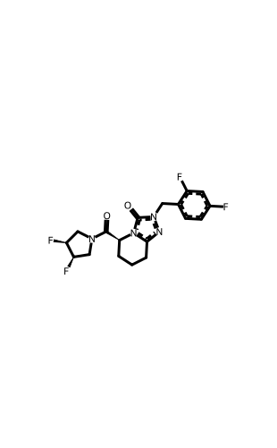 O=C([C@@H]1CCCc2nn(Cc3ccc(F)cc3F)c(=O)n21)N1C[C@@H](F)[C@@H](F)C1